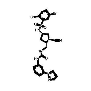 N#CN1C[C@H](NS(=O)(=O)c2cc(Br)ccc2Br)C[C@@H]1CNC(=O)Nc1cccc(-n2cccn2)c1